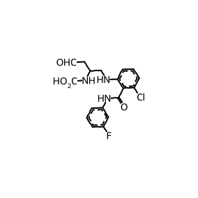 O=CCC(CNc1cccc(Cl)c1C(=O)Nc1cccc(F)c1)NC(=O)O